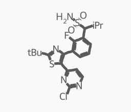 CC(C)C(c1cccc(-c2nc(C(C)(C)C)sc2-c2ccnc(Cl)n2)c1F)S(N)(=O)=O